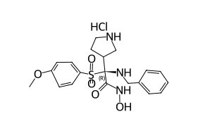 COc1ccc(S(=O)(=O)[C@@](NCc2ccccc2)(C(=O)NO)C2CCNC2)cc1.Cl